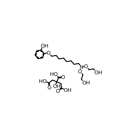 O=C(O)CC(O)(CC(=O)O)C(=O)O.OCCON(CCCCCCCCOc1ccccc1O)OCCO